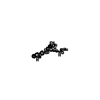 Cc1cc(CC(OC(=O)N2CCC(N3CCc4ccccc4NC3=O)CC2)C(=O)NCCCCCCNC(=O)OC(C)(C)C)cc(C)c1O